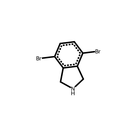 Brc1ccc(Br)c2c1CNC2